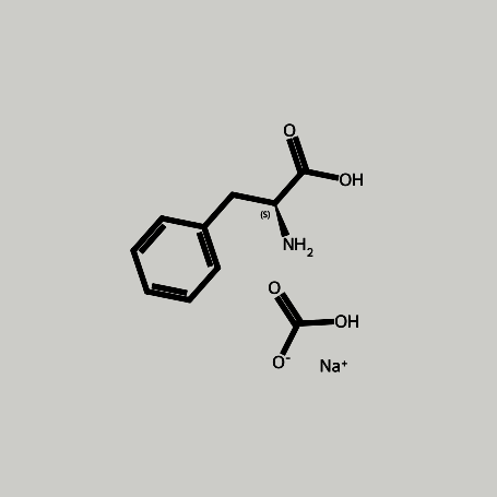 N[C@@H](Cc1ccccc1)C(=O)O.O=C([O-])O.[Na+]